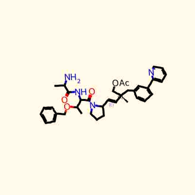 CC(=O)OC[C@@](C)(/C=C/C1CCCN1C(=O)C(NC(=O)C(C)N)C(C)OCc1ccccc1)Cc1cccc(-c2ccccn2)c1